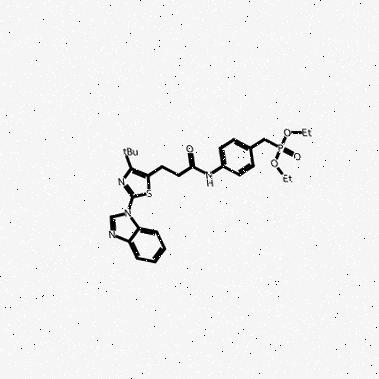 CCOP(=O)(Cc1ccc(NC(=O)CCc2sc(-n3cnc4ccccc43)nc2C(C)(C)C)cc1)OCC